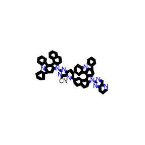 N#Cc1nc(-n2c3ccc4ccccc4c3c3c4c5ccccc5n5c6ccccc6c(cc32)c45)nc2ccc(-c3ccc4ccc5c(c4c3)c3c4c6ccccc6n6c7ccccc7c(cc3n5-c3ncc5ncccc5n3)c46)nc12